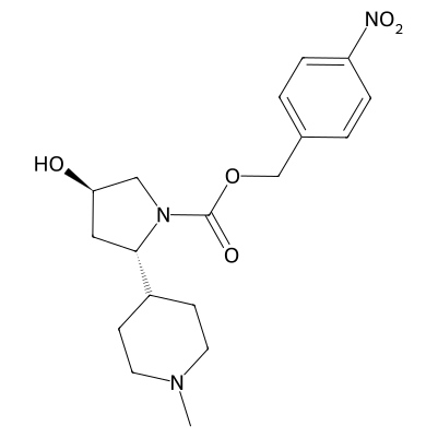 CN1CCC([C@@H]2C[C@@H](O)CN2C(=O)OCc2ccc([N+](=O)[O-])cc2)CC1